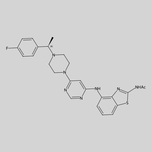 CC(=O)Nc1nc2c(Nc3cc(N4CCN([C@H](C)c5ccc(F)cc5)CC4)ncn3)cccc2s1